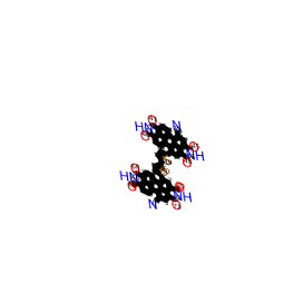 N#Cc1cc2c3c(cc(-c4ccc(-c5ccc(-c6cc7c8c(cc(C#N)c9c%10ccc%11c%12c(ccc(c6c89)c%12%10)C(=O)NC%11=O)C(=O)NC7=O)s5)s4)c4c5ccc6c7c(ccc(c1c34)c75)C(=O)NC6=O)C(=O)NC2=O